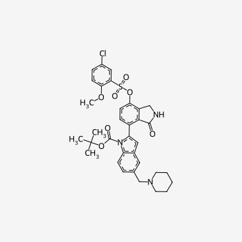 COc1ccc(Cl)cc1S(=O)(=O)Oc1ccc(-c2cc3cc(CN4CCCCC4)ccc3n2C(=O)OC(C)(C)C)c2c1CNC2=O